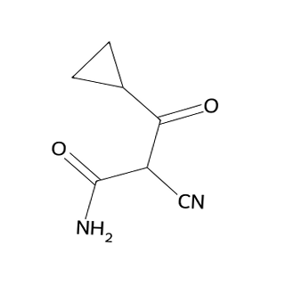 N#CC(C(N)=O)C(=O)C1CC1